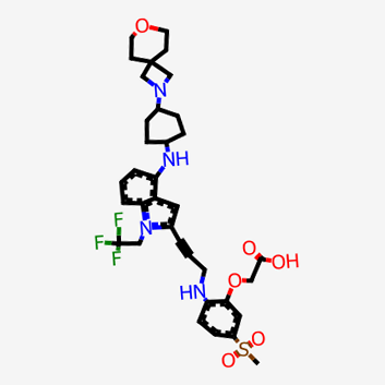 CS(=O)(=O)c1ccc(NCC#Cc2cc3c(NC4CCC(N5CC6(CCOCC6)C5)CC4)cccc3n2CC(F)(F)F)c(OCC(=O)O)c1